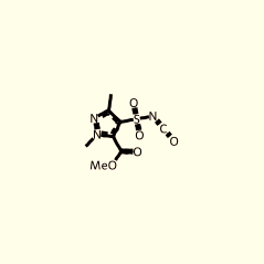 COC(=O)c1c(S(=O)(=O)N=C=O)c(C)nn1C